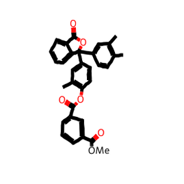 COC(=O)c1cccc(C(=O)Oc2ccc(C3(c4ccc(C)c(C)c4)OC(=O)c4ccccc43)cc2C)c1